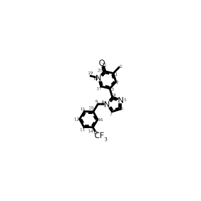 Cc1cc(-c2nccn2Cc2cccc(C(F)(F)F)c2)cn(C)c1=O